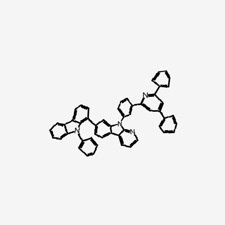 c1ccc(-c2cc(-c3ccccc3)nc(-c3cccc(-n4c5cc(-c6cccc7c8ccccc8n(-c8ccccc8)c67)ccc5c5cccnc54)c3)c2)cc1